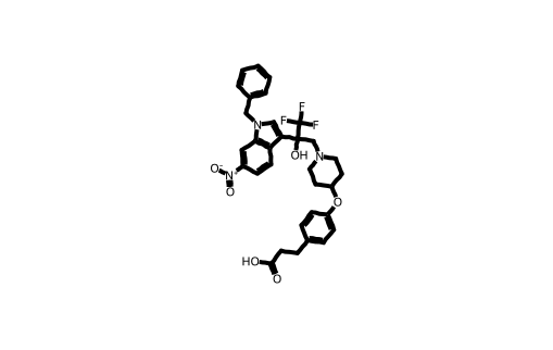 O=C(O)CCc1ccc(OC2CCN(CC(O)(c3cn(Cc4ccccc4)c4cc([N+](=O)[O-])ccc34)C(F)(F)F)CC2)cc1